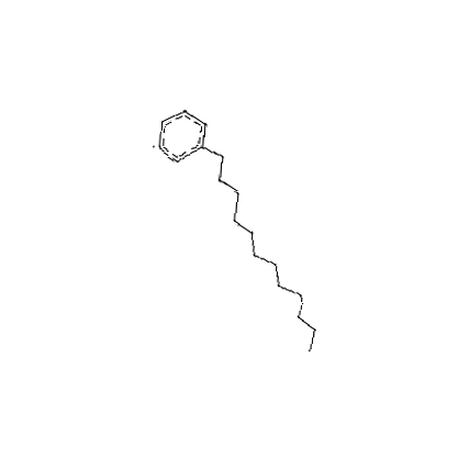 CCCCCCCCCCCCc1c[c]ccc1